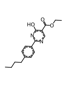 CCCCc1ccc(-c2ncc(C(=O)OCC)c(O)n2)cc1